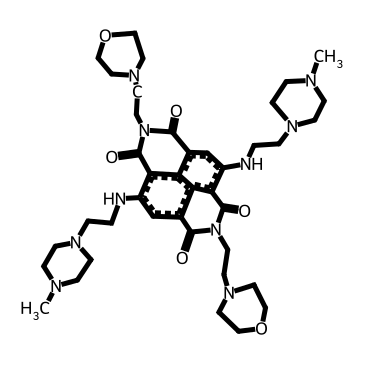 CN1CCN(CCNc2cc3c4c(c(NCCN5CCN(C)CC5)cc5c4c2C(=O)N(CCN2CCOCC2)C5=O)C(=O)N(CCN2CCOCC2)C3=O)CC1